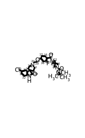 CC(C)(C)OC(=O)N1CC2(C1)CN(C(=O)c1ccc(OCCN3CCC4(CC3)C(=O)Nc3ccc(Cl)cc34)cc1F)C2